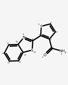 NC(=O)c1ccsc1-c1nc2ccccc2s1